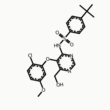 COc1ccc(Cl)c(Oc2c(CO)ncnc2NS(=O)(=O)c2ccc(C(C)(C)C)cc2)c1